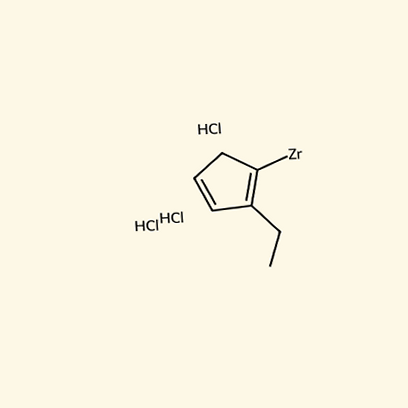 CCC1=[C]([Zr])CC=C1.Cl.Cl.Cl